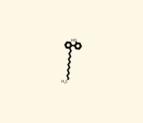 CCCCCCCCCCCCc1ccccc1-c1ccccc1O